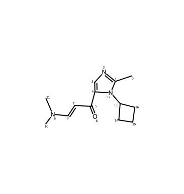 Cc1ncc(C(=O)/C=C/N(C)C)n1C1CCC1